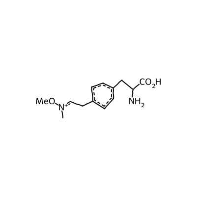 CO/[N+](C)=C/Cc1ccc(CC(N)C(=O)O)cc1